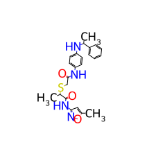 Cc1cc(NC(=O)C(C)SCC(=O)Nc2ccc(NC(C)c3ccccc3)cc2)no1